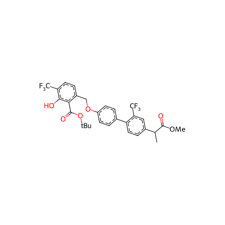 COC(=O)C(C)c1ccc(-c2ccc(OCc3ccc(C(F)(F)F)c(O)c3C(=O)OC(C)(C)C)cc2)c(C(F)(F)F)c1